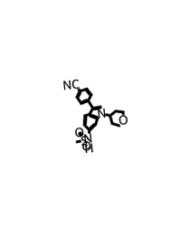 CS(=O)(=O)Nc1ccc2c(-c3ccc(C#N)cc3)cn(C3CCOCC3)c2c1